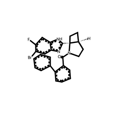 O=C(c1ccccc1-c1ccccc1)N1CC[C@@H]2CC[C@@]21c1nc2cc(Br)c(F)cc2[nH]1